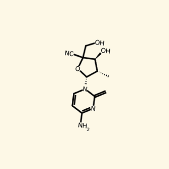 C=C1N=C(N)C=CN1[C@@H]1OC(C#N)(CO)[C@@H](O)[C@@H]1C